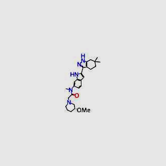 CO[C@@H]1CCCN(CC(=O)N(C)c2ccc3cc(-c4n[nH]c5c4CCC(C)(C)C5)[nH]c3c2)C1